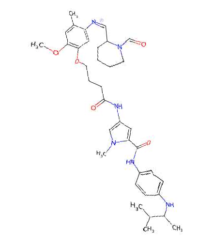 COc1cc(C)c(/N=C\C2CCCCN2C=O)cc1OCCCC(=O)Nc1cc(C(=O)Nc2ccc(NC(C)C(C)C)cc2)n(C)c1